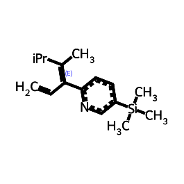 C=C/C(=C(/C)C(C)C)c1ccc([Si](C)(C)C)cn1